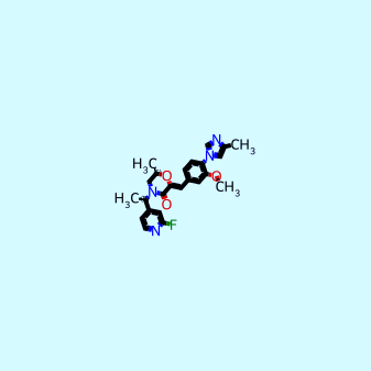 COc1cc(C=C2O[C@@H](C)CN([C@H](C)c3ccnc(F)c3)C2=O)ccc1-n1cnc(C)c1